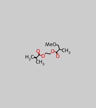 C=C(C)C(=O)OCCOC(=O)C(C)COC